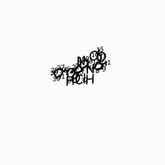 COc1cc2c(Nc3ccc(C)c(OC(C)=O)c3)ccnc2cc1OCc1ccccc1.Cl